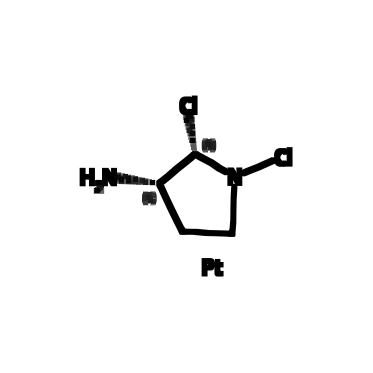 N[C@H]1CCN(Cl)[C@H]1Cl.[Pt]